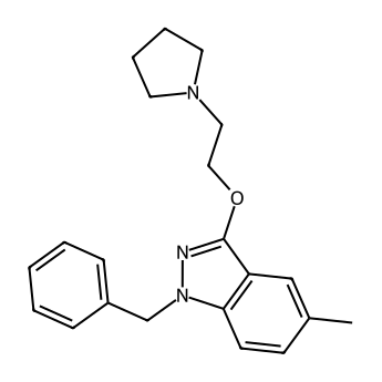 Cc1ccc2c(c1)c(OCCN1CCCC1)nn2Cc1ccccc1